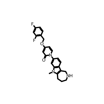 Cn1c2c(c3ccc(-n4ccc(OCc5ccc(F)cc5F)cc4=O)cc31)CNCCC2